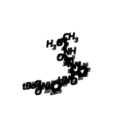 CN(C)CCNC(=O)C1CN(c2cc(C(=O)NC[C@H]3CC[C@H](CNC(=O)OC(C)(C)C)CC3)c3ccccc3n2)C1